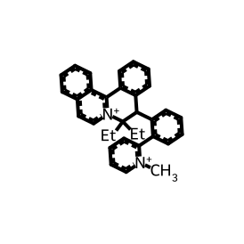 CCC1(CC)C(c2ccccc2-c2cccc[n+]2C)c2ccccc2-c2c3ccccc3cc[n+]21